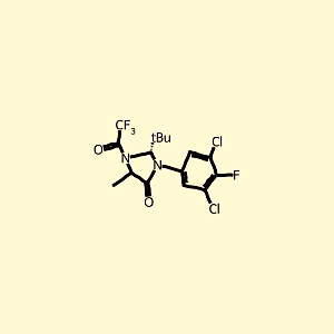 CC1C(=O)N(c2cc(Cl)c(F)c(Cl)c2)[C@@H](C(C)(C)C)N1C(=O)C(F)(F)F